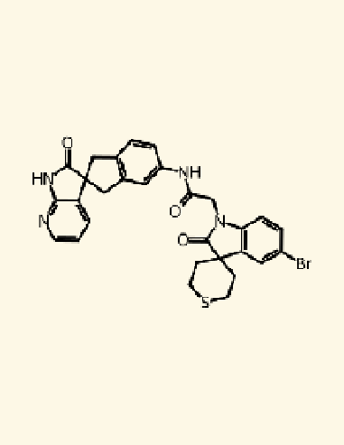 O=C(CN1C(=O)C2(CCSCC2)c2cc(Br)ccc21)Nc1ccc2c(c1)CC1(C2)C(=O)Nc2ncccc21